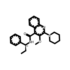 CC[C@H](NC(=O)c1c(OC)c(N2CCCCC2)nc2ccccc12)c1ccccc1